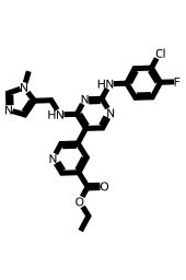 CCOC(=O)c1cncc(-c2cnc(Nc3ccc(F)c(Cl)c3)nc2NCc2cncn2C)c1